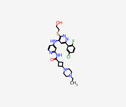 CCN1CCN(C2CC(C(=O)Nc3cc(Nc4cc(-c5cc(Cl)ccc5F)nnc4SCCO)ccn3)C2)CC1